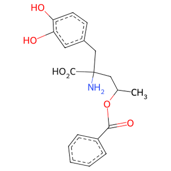 CC(CC(N)(Cc1ccc(O)c(O)c1)C(=O)O)OC(=O)c1ccccc1